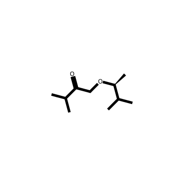 CC(C)C(=O)CO[C@@H](C)C(C)C